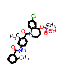 Cc1ccccc1C(=O)Nc1ccc(C(=O)N2CCCC(OP(C)(=O)O)c3cc(Cl)ccc32)c(C)c1